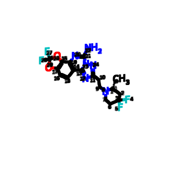 C[C@@H]1CC(F)(F)CCN1CCc1nc2c3ccc4c(c3nc(N)n2n1)OC(F)(F)O4